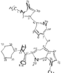 Cn1cc(-c2ccc(Cc3cc(C(=O)NC4CCCCC4)nc4c3ccn4C)cn2)cn1